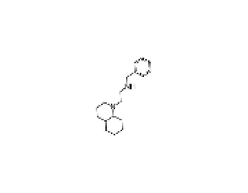 c1ccc(CNCCN2CCCC3CCCCC32)cc1